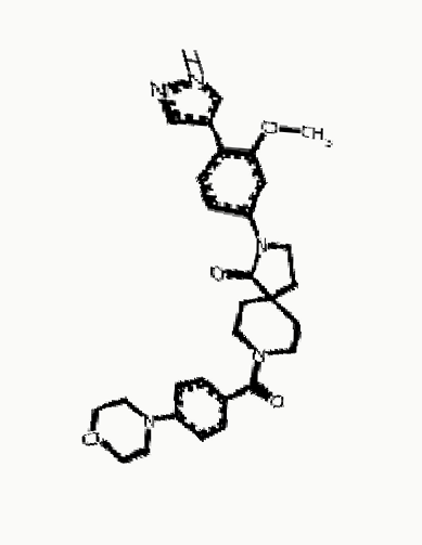 COc1cc(N2CCC3(CCN(C(=O)c4ccc(N5CCOCC5)cc4)CC3)C2=O)ccc1-c1cn[nH]c1